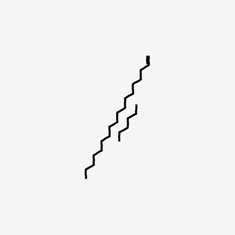 C=CCCCCCCCCCCCCCCCC.CCCCCC